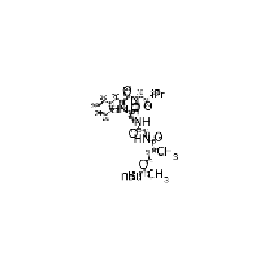 CCCCC(C)OCCC(C)C(=O)NCC(=O)NCC(=O)N[C@@H](Cc1ccccc1)C(=O)NCC(=O)C(C)C